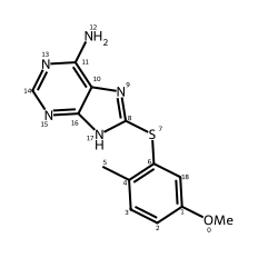 COc1ccc(C)c(Sc2nc3c(N)ncnc3[nH]2)c1